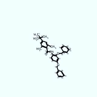 Cc1cc(C(C)(C)C)cc(C)c1C(=O)Pc1ccc(OCc2ccccc2)cc1OCc1ccccc1.[Li]